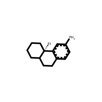 CC[C@@]12CCCCC1CCc1ccc(P)cc12